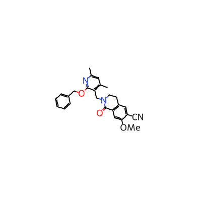 COc1cc2c(cc1C#N)CCN(Cc1c(C)cc(C)nc1OCc1ccccc1)C2=O